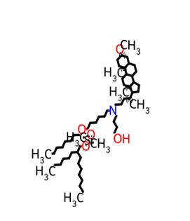 CCCCCCCCOC(CCCCCN(CCCCO)CCC[C@@H](C)C1CCC2C3CCC4C[C@H](OC)CC[C@]4(C)C3CC[C@@]21C)O[Si](C)(C)OCC(CCCCCC)CCCCCCCC